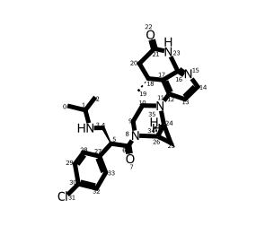 CC(C)NC[C@@H](C(=O)N1CCN(c2ccnc3c2[C@H](C)CC(=O)N3)[C@H]2C[C@H]21)c1ccc(Cl)cc1